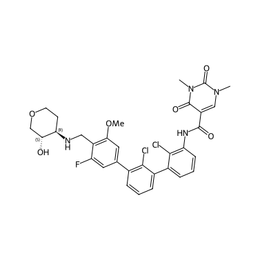 COc1cc(-c2cccc(-c3cccc(NC(=O)c4cn(C)c(=O)n(C)c4=O)c3Cl)c2Cl)cc(F)c1CN[C@@H]1CCOC[C@H]1O